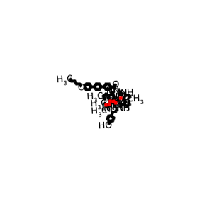 CCCCCOc1ccc(-c2ccc(-c3ccc(C(=O)NCC(=O)NC(CC)C(=O)N4CCCC4C(=O)NC(CCc4ccc(O)cc4)C(=O)NC(CC)C(=O)N4C[C@H](C)CC4C(=O)NC(OCCNC)[C@@H](C)O)cc3)cc2)cc1